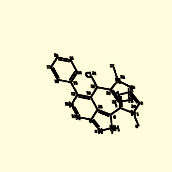 Cn1cccc1-c1[nH]nc2nnc(-c3ccccc3)c(C(Cl)c3cncn3C)c12